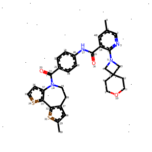 Cc1cnc(N2CC3(CCOCC3)C2)c(C(=O)Nc2ccc(C(=O)N3CCc4cc(C)sc4-c4sccc43)cc2)c1